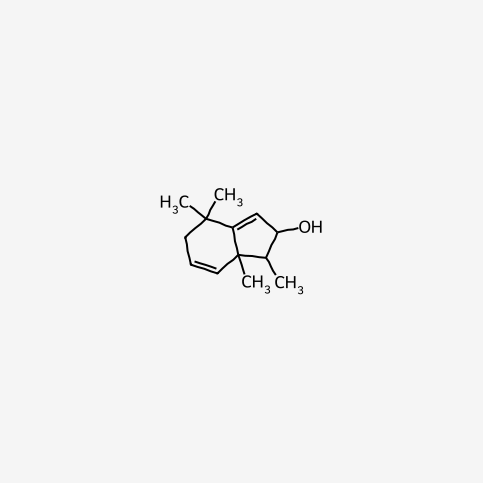 CC1C(O)C=C2C(C)(C)CC=CC21C